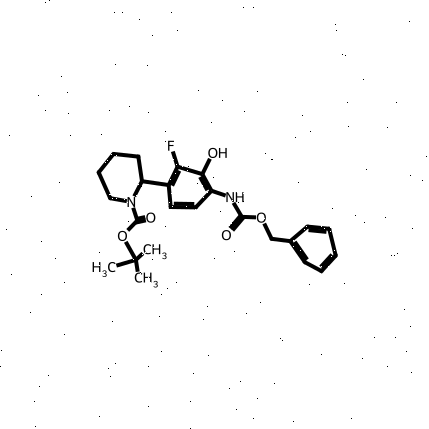 CC(C)(C)OC(=O)N1CCCCC1c1ccc(NC(=O)OCc2ccccc2)c(O)c1F